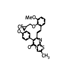 COc1cccc(/C=C/c2nc3sc(C)cn3c(=O)c2-c2ccc(OC(F)(F)F)cc2)c1OCC1CC1